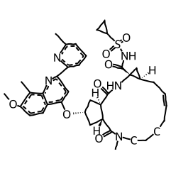 COc1ccc2c(O[C@@H]3C[C@H]4C(=O)N[C@]5(C(=O)NS(=O)(=O)C6CC6)C[C@H]5C/C=C\CCCCN(C)C(=O)[C@@H]4C3)cc(-c3cccc(C)n3)nc2c1C